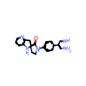 N=C/C(=C\N)c1ccc(N2CCC3(Cc4ncccc4N3)C2=O)cc1